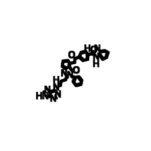 Nc1ccccc1NC(=O)c1ccc(C(=O)Cc2cccc3nc(CCCNc4ncnc5[nH]cnc45)n(-c4ccccc4)c(=O)c23)cc1